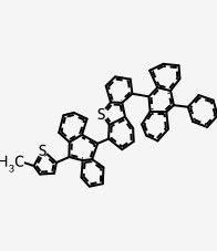 Cc1ccc(-c2c3ccccc3c(-c3cccc4c3sc3cccc(-c5c6ccccc6c(-c6ccccc6)c6ccccc56)c34)c3ccccc23)s1